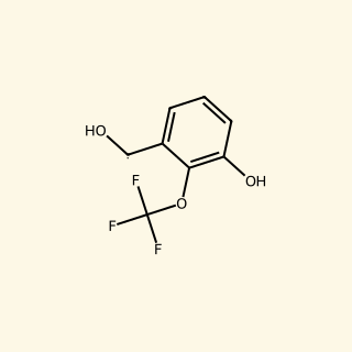 O[CH]c1cccc(O)c1OC(F)(F)F